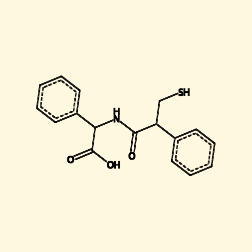 O=C(NC(C(=O)O)c1ccccc1)C(CS)c1ccccc1